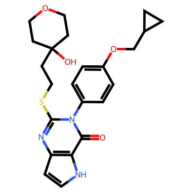 O=c1c2[nH]ccc2nc(SCCC2(O)CCOCC2)n1-c1ccc(OCC2CC2)cc1